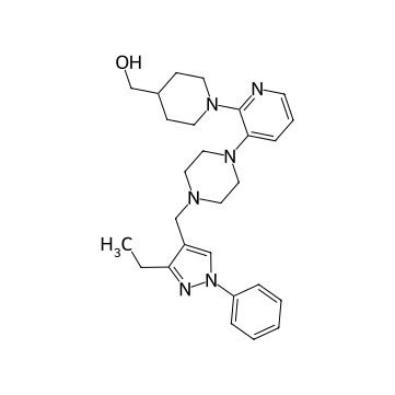 CCc1nn(-c2ccccc2)cc1CN1CCN(c2cccnc2N2CCC(CO)CC2)CC1